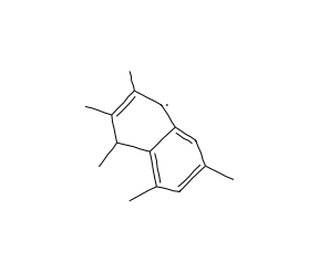 CC1=C(C)C(C)c2c(C)cc(C)cc2[CH]1